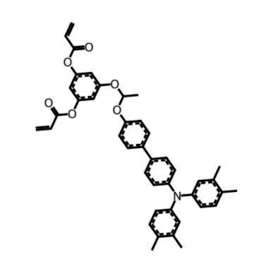 C=CC(=O)Oc1cc(OC(=O)C=C)cc(OC(C)Oc2ccc(-c3ccc(N(c4ccc(C)c(C)c4)c4ccc(C)c(C)c4)cc3)cc2)c1